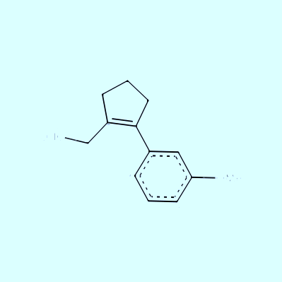 COc1cccc(C2=C(CC=O)CCC2)c1